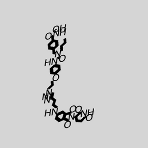 CCCCN(Cc1ccc(C(=O)NO)cc1)C(=O)Nc1ccc(OCCCn2cc(CCCNc3ccc4c(c3)C(=O)N(C3CCC(=O)NC3=O)C4=O)nn2)cc1